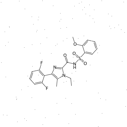 CCn1c(C(=O)NS(=O)(=O)c2ccccc2OC)nc(-c2c(F)cccc2F)c1C